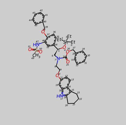 CC[Si](CC)(CC)O[C@@H](CN(CCOc1ccc2c3c([nH]c2c1)CCCC3)C(=O)OCc1ccccc1)c1ccc(OCc2ccccc2)c(NS(C)(=O)=O)c1